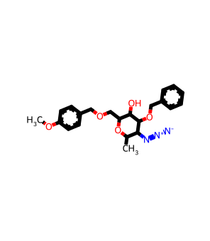 COc1ccc(COCC2OC(C)C(N=[N+]=[N-])C(OCc3ccccc3)C2O)cc1